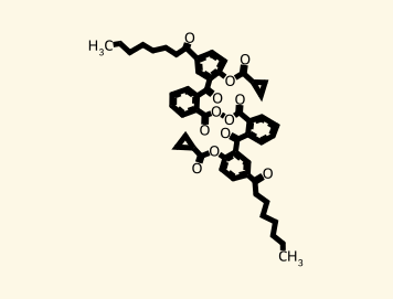 CCCCCCCC(=O)c1ccc(OC(=O)C2CC2)c(C(=O)c2ccccc2C(=O)OOC(=O)c2ccccc2C(=O)c2cc(C(=O)CCCCCCC)ccc2OC(=O)C2CC2)c1